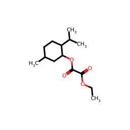 CCOC(=O)C(=O)OC1CC(C)CCC1C(C)C